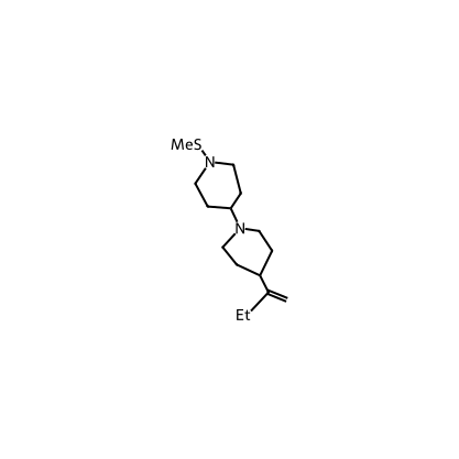 C=C(CC)C1CCN(C2CCN(SC)CC2)CC1